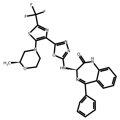 C[C@H]1CN(c2sc(C(F)(F)F)nc2-c2nnc(N[C@@H]3N=C(c4ccccc4)c4ccccc4NC3=O)o2)CCO1